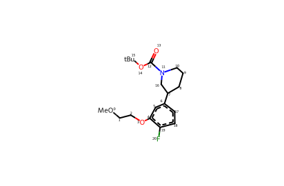 COCCOc1cc(C2CCCN(C(=O)OC(C)(C)C)C2)ccc1F